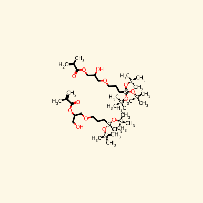 C=C(C)C(=O)OC(CO)COCCC[Si](C)(O[Si](C)(C)C)O[Si](C)(C)C.C=C(C)C(=O)OCC(O)COCCC[Si](O[Si](C)(C)C)(O[Si](C)(C)C)O[Si](C)(C)C